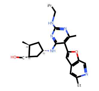 CCc1cc2cc(-c3c(C)nc(NCC(C)C)nc3N[C@@H]3C[C@H](CO)[C@@H](C)C3)oc2cn1